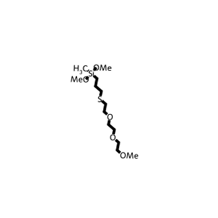 COCCOCCOCCSCCC[Si](C)(OC)OC